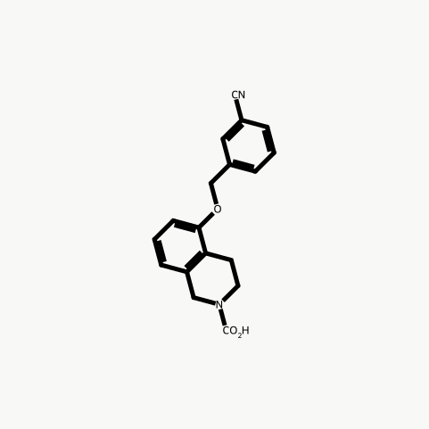 N#Cc1cccc(COc2cccc3c2CCN(C(=O)O)C3)c1